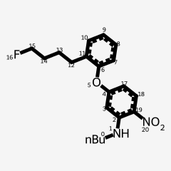 CCCCNc1cc(Oc2ccccc2CCCCF)ccc1[N+](=O)[O-]